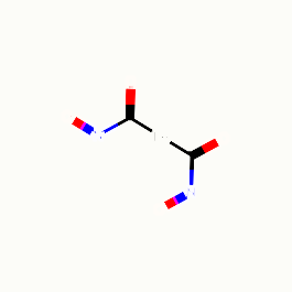 O=N[C](=O)[Fe][C](=O)N=O